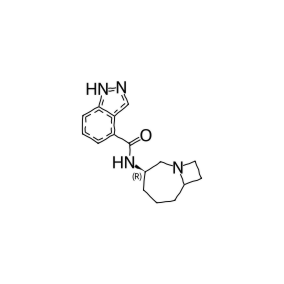 O=C(N[C@@H]1CCCC2CCN2C1)c1cccc2[nH]ncc12